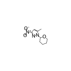 Cc1cc([N+](=O)[O-])nn1C1CCCCO1